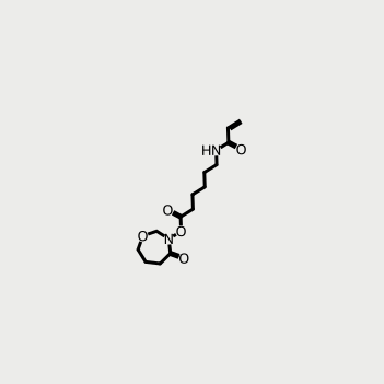 C=CC(=O)NCCCCCC(=O)ON1COCCCC1=O